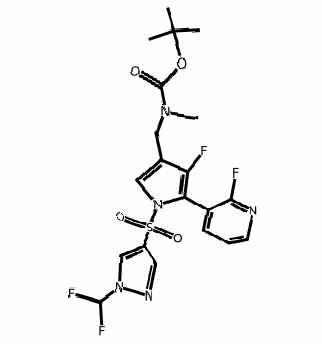 CN(Cc1cn(S(=O)(=O)c2cnn(C(F)F)c2)c(-c2cccnc2F)c1F)C(=O)OC(C)(C)C